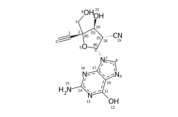 C#C[C@]1(CO)O[C@@H](n2cnc3c(O)nc(N)nc32)[C@@H](C#N)[C@@H]1O